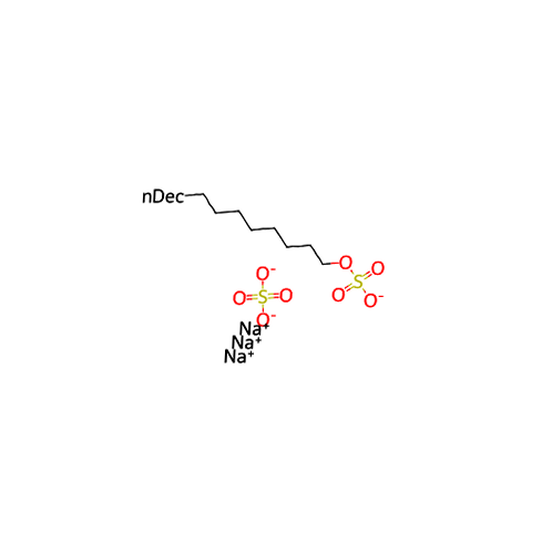 CCCCCCCCCCCCCCCCCCOS(=O)(=O)[O-].O=S(=O)([O-])[O-].[Na+].[Na+].[Na+]